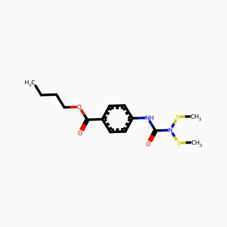 CCCCOC(=O)c1ccc(NC(=O)N(SC)SC)cc1